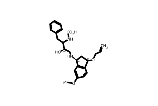 C=CCO[C@@H]1C[C@H](NC[C@@H](O)C(Cc2ccccc2)NC(=O)O)c2cc(OC(C)C)ccc21